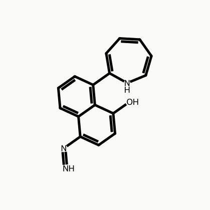 N=Nc1ccc(O)c2c(C3=CC=CC=CN3)cccc12